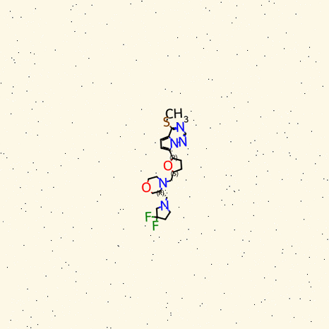 CSc1ncnn2c([C@H]3CC[C@@H](CN4CCOC[C@H]4CN4CCC(F)(F)C4)O3)ccc12